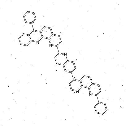 c1ccc(-c2ccc3ccc4c(-c5ccc6nc(-c7ccc8ccc9c(-c%10ccccc%10)c%10ccccc%10nc9c8n7)ccc6c5)ccnc4c3n2)cc1